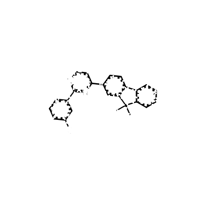 CC1(C)c2ccccc2-c2ccc(-c3ccnc(-c4cccc(Cl)c4)n3)cc21